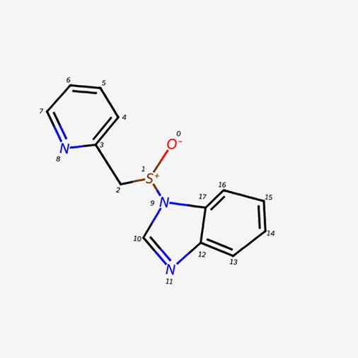 [O-][S+](Cc1ccccn1)n1cnc2ccccc21